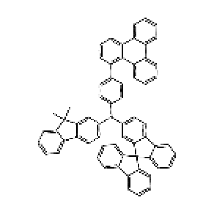 CC1(C)c2ccccc2-c2ccc(N(c3ccc(-c4cccc5c6ccccc6c6ccccc6c45)cc3)c3ccc4c(c3)C3(c5ccccc5-c5ccccc53)c3ccccc3-4)cc21